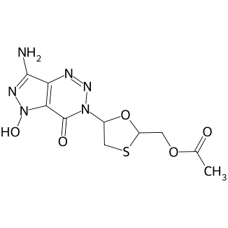 CC(=O)OCC1OC(n2nnc3c(N)nn(O)c3c2=O)CS1